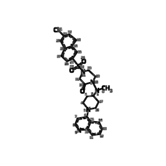 CN(C1CCN(c2ccnc3ccccc23)CC1)N1CCN(S(=O)(=O)c2ccc3cc(Cl)ccc3c2)CC1=O